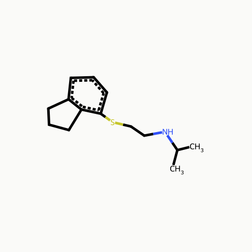 CC(C)NCCSc1cccc2c1CCC2